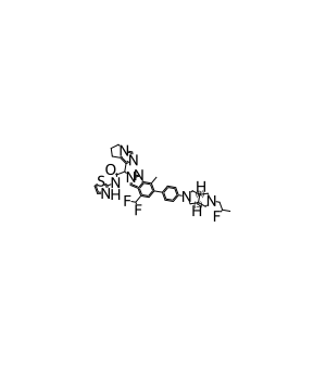 Cc1c(-c2ccc(N3C[C@H]4CN(CC(C)F)C[C@H]4C3)cc2)cc(C(F)F)c2cn(C(C(=O)Nc3nccs3)c3ncn4c3CCC4)nc12